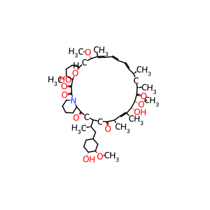 CO[C@H]1C[C@@H]2CC[C@@H](C)[C@@](O)(O2)C(=O)C(=O)N2CCCCC2C(=O)CC([C@H](C)CC2CC[C@@H](O)[C@H](OC)C2)CC(=O)[C@H](C)/C=C(\C)[C@@H](O)[C@@H](OC)C(=O)[C@H](C)C[C@H](C)/C=C/C=C/C=C/1C